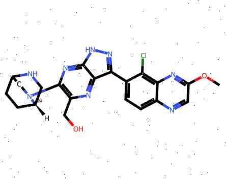 COc1cnc2ccc(-c3n[nH]c4nc(N5CC6CC[C@H]5CN6)c(CO)nc34)c(Cl)c2n1